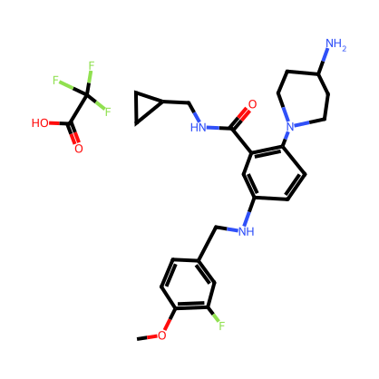 COc1ccc(CNc2ccc(N3CCC(N)CC3)c(C(=O)NCC3CC3)c2)cc1F.O=C(O)C(F)(F)F